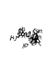 C=C[C@]1(C)C[C@@H](OC(=O)COc2ccc3c(c2Cl)B(O)OC3CN)[C@]2(C)[C@H](C)CC[C@]3(CCC(=O)[C@H]32)[C@@H](C)[C@@H]1O.Cl